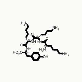 NCCCC[C@H](NC(=O)[C@H](CCCCN)NC(=O)[C@@H](N)CCCCN)C(=O)N[C@@H](Cc1ccc(O)cc1)C(=O)O